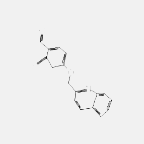 O=CC1=CC=C(OCc2ccc3ccccc3n2)CC1=S